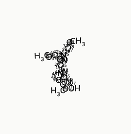 COC(=O)[C@@H]1[C@H](O)CCN1c1cc2c3c(c1)nc(-c1ccc4oc(N(Cc5ccc(OC)cc5)Cc5ccc(OC)cc5)nc4c1)n3CCCCO2